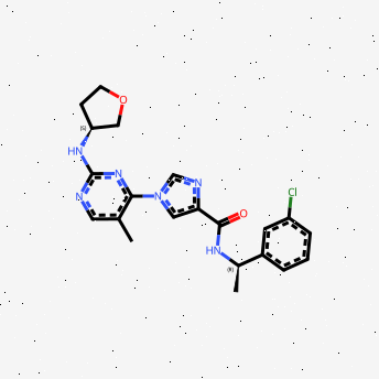 Cc1cnc(N[C@H]2CCOC2)nc1-n1cnc(C(=O)N[C@H](C)c2cccc(Cl)c2)c1